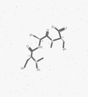 CCC(=O)[C@H](CC(C)C)N(C)C(=O)[C@@H](NC(=O)[C@H](CC(C)C)N(C)C(C)C)C(C)C